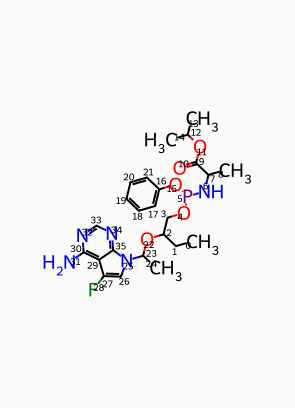 CCC(COP(NC(C)C(=O)OC(C)C)Oc1ccccc1)OC(C)n1cc(F)c2c(N)ncnc21